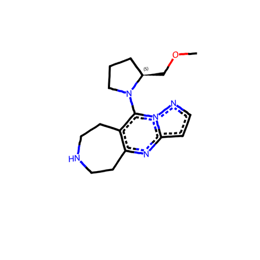 COC[C@@H]1CCCN1c1c2c(nc3ccnn13)CCNCC2